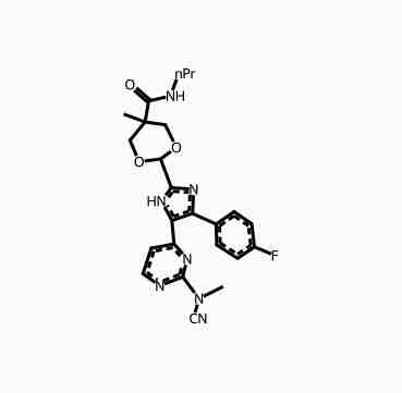 CCCNC(=O)C1(C)COC(c2nc(-c3ccc(F)cc3)c(-c3ccnc(N(C)C#N)n3)[nH]2)OC1